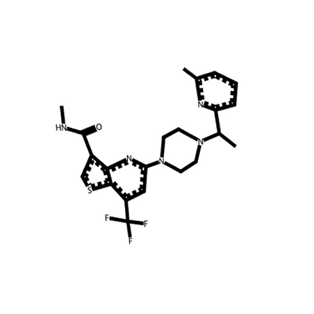 CNC(=O)c1csc2c(C(F)(F)F)cc(N3CCN(C(C)c4cccc(C)n4)CC3)nc12